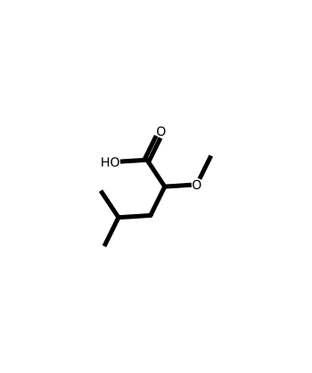 COC(CC(C)C)C(=O)O